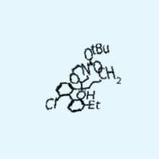 C=CCC[C@](O)(c1cccc(Cl)c1-c1cccc(CC)c1)C1CN(C(=O)OC(C)(C)C)CCO1